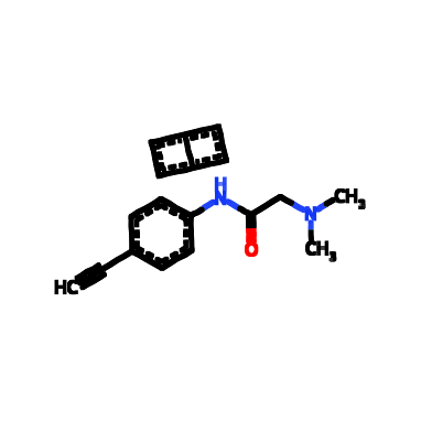 C#Cc1ccc(NC(=O)CN(C)C)cc1.c1cc2ccc1-2